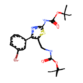 CC(C)(C)OC(=O)NCc1sc(NC(=O)OC(C)(C)C)nc1-c1cccc(Br)c1